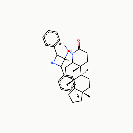 CN1C(=O)CC[C@]2(C)[C@H]3CC[C@]4(C)CCC[C@H]4[C@@H]3CC[C@@]12C1(NC=O)C(c2ccccc2)NC1c1ccccc1